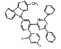 Cc1ccc2c3ccccc3n(-c3ccc(-c4ccc(F)cc4F)c(-c4nc(-c5ccccc5)nc(-c5ccccc5)n4)c3)c2c1